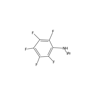 CC(C)Nc1c(F)c(F)c(F)c(F)c1F